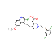 COc1ccc2ncc(F)c(CCCC3CCN(CCSc4cc(F)ccc4F)CC3CC(=O)O)c2c1